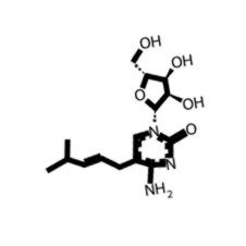 CC(C)/C=C/Cc1cn([C@@H]2O[C@H](CO)[C@@H](O)[C@H]2O)c(=O)nc1N